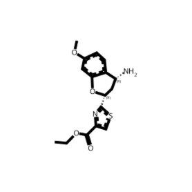 CCOC(=O)c1csc([C@H]2C[C@@H](N)c3ccc(OC)cc3O2)n1